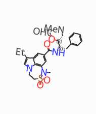 CCc1cn2c3c(cc(C(=O)N[C@@H](Cc4ccccc4)[C@@H](CNC)OC=O)cc13)N(C)S(=O)(=O)CC2